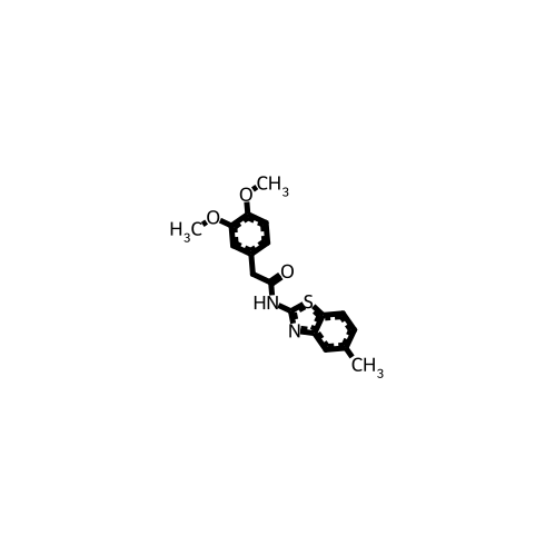 COc1ccc(CC(=O)Nc2nc3cc(C)ccc3s2)cc1OC